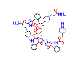 Cc1noc(-c2ccccc2N(CC2CCN(CCC(N)=O)CC2)C(=O)OC(=O)/C=C\C(=O)OC(=O)N(CC2CCN(CCC(N)=O)CC2)c2ccccc2-c2nc(C)no2)n1.Cc1noc(-c2ccccc2NC(=O)OCC2CCNCC2)n1